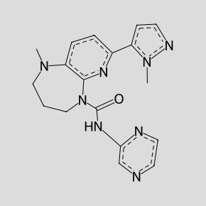 CN1CCCN(C(=O)Nc2cnccn2)c2nc(-c3ccnn3C)ccc21